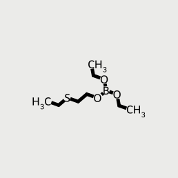 CCOB(OCC)OCCSCC